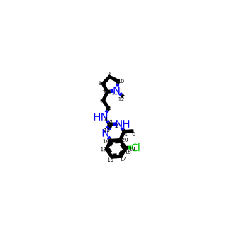 CC1NC(NCCC2CCCN2C)=Nc2cccc(Cl)c21